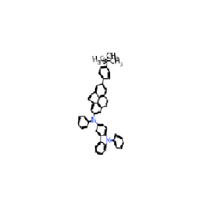 C[Si](C)(C)c1ccc(-c2cc3ccc4cc(N(c5ccccc5)c5ccc6c(c5)c5ccccc5n6-c5ccccc5)cc5ccc(c2)c3c45)cc1